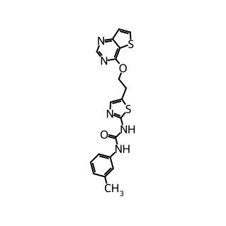 Cc1cccc(NC(=O)Nc2ncc(CCOc3ncnc4ccsc34)s2)c1